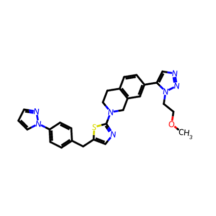 COCCn1nncc1-c1ccc2c(c1)CN(c1ncc(Cc3ccc(-n4cccn4)cc3)s1)CC2